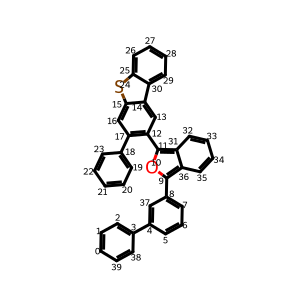 c1ccc(-c2cccc(-c3oc(-c4cc5c(cc4-c4ccccc4)sc4ccccc45)c4ccccc34)c2)cc1